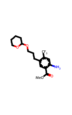 COC(=O)c1cc(CCCOC2CCCCO2)c(C(F)(F)F)cc1N